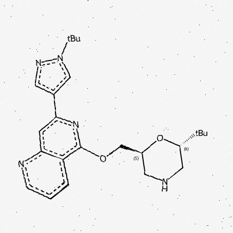 CC(C)(C)[C@@H]1CNC[C@@H](COc2nc(-c3cnn(C(C)(C)C)c3)cc3ncccc23)O1